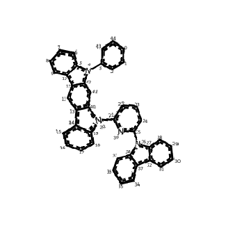 c1ccc(-n2c3ccccc3c3cc4c5ccccc5n(-c5cccc(-n6c7ccccc7c7ccccc76)n5)c4cc32)cc1